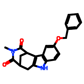 CN1C(=O)C2Cc3[nH]c4ccc(OCc5ccccc5)cc4c3C(C2)C1=O